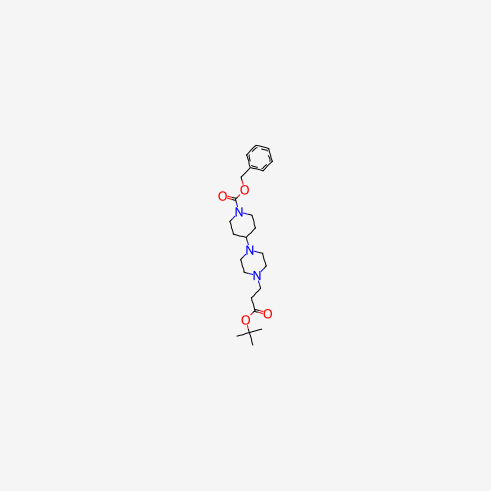 CC(C)(C)OC(=O)CCN1CCN(C2CCN(C(=O)OCc3ccccc3)CC2)CC1